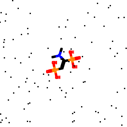 CN(C)C(=CP(=O)(O)O)P(=O)(O)O